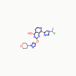 Oc1nc(Oc2cnn(C3CCOCC3)c2)nc2c(-c3cn(C(F)I)cn3)nccc12